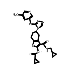 Cc1cncc(Nc2nncn2[C@@H]2CCc3sc(NC(=O)C4CC4)c(C(=O)NCC4CC4)c3C2)c1